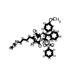 COc1ccc([C@]23C[C@@]45SS[C@@H](C(=O)N4[C@H]2N(S(=O)(=O)c2ccccc2)c2ccccc23)N(CCCCN=[N+]=[N-])C5=O)cc1